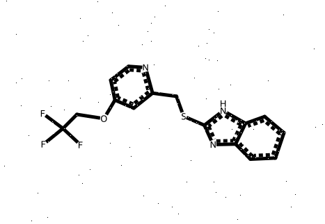 FC(F)(F)COc1ccnc(CSc2nc3ccccc3[nH]2)c1